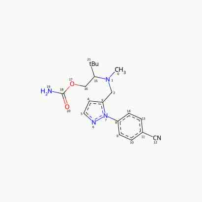 CN(Cc1ccnn1-c1ccc(C#N)cc1)C(COC(N)=O)C(C)(C)C